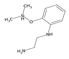 C[SiH](C)Oc1ccccc1NCCN